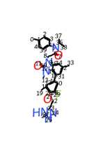 Cc1ccc(N(C(=O)Cn2c(=O)n(C)c3c(-c4cc(C)c(OCc5nnc[nH]5)c(F)c4)cc(C)cc32)C(C)C)cc1